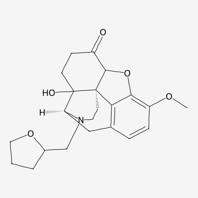 COc1ccc2c3c1OC1C(=O)CCC4(O)[C@H](C2)N(CC2CCCO2)CC[C@@]314